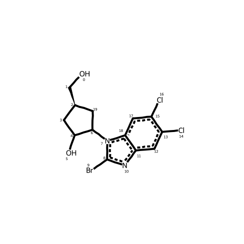 OC[C@@H]1CC(O)C(n2c(Br)nc3cc(Cl)c(Cl)cc32)C1